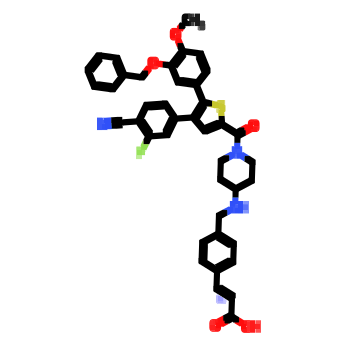 COc1ccc(-c2sc(C(=O)N3CCC(NCc4ccc(/C=C/C(=O)O)cc4)CC3)cc2-c2ccc(C#N)c(F)c2)cc1OCc1ccccc1